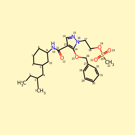 CCC(C)CC1CCCC(NC(=O)c2cnn(CCOS(C)(=O)=O)c2OCc2ccccc2)C1